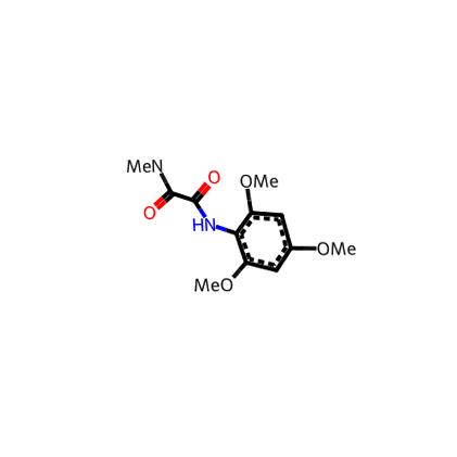 CNC(=O)C(=O)Nc1c(OC)cc(OC)cc1OC